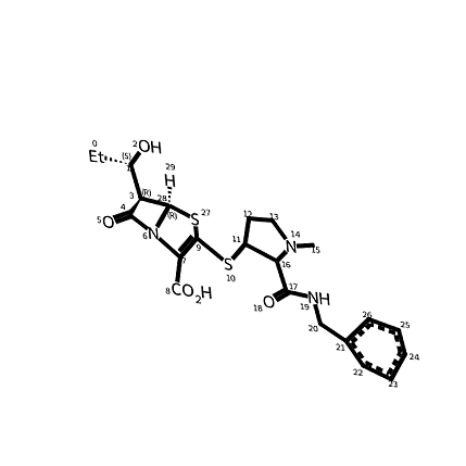 CC[C@H](O)[C@@H]1C(=O)N2C(C(=O)O)=C(SC3CCN(C)C3C(=O)NCc3ccccc3)S[C@H]12